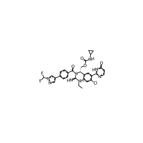 CCNC(=N)N(C(=O)c1ccc(-c2cnn(C(F)F)c2)cc1)[C@H](COC(=O)NC1CC1)c1ccc(Cl)c(-c2nccc(=O)[nH]2)c1